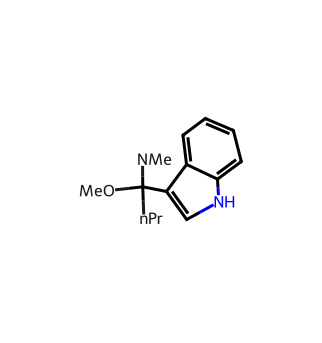 CCCC(NC)(OC)c1c[nH]c2ccccc12